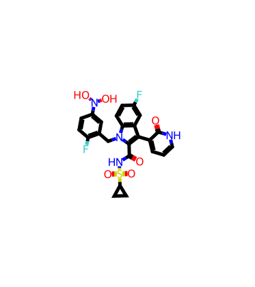 O=C(NS(=O)(=O)C1CC1)c1c(-c2ccc[nH]c2=O)c2cc(F)ccc2n1Cc1cc(N(O)O)ccc1F